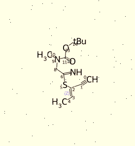 C#C/C(=C/C)SC(=N)CN(C)C(=O)OC(C)(C)C